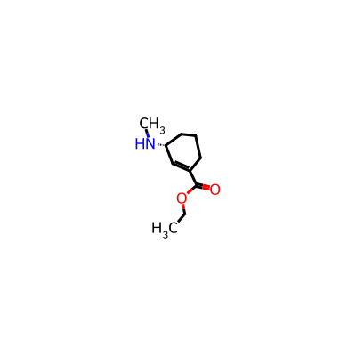 CCOC(=O)C1=C[C@H](NC)CCC1